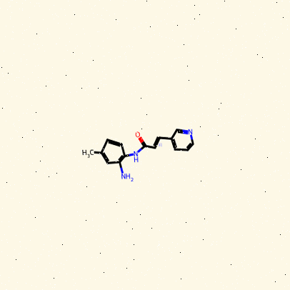 Cc1ccc(NC(=O)/C=C/c2cccnc2)c(N)c1